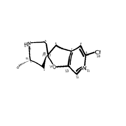 C[C@H]1C[C@@]2(CN1)Cc1cc(Cl)ncc1O2